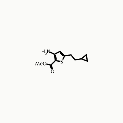 COC(=O)c1sc(CCC2CC2)cc1N